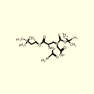 CC(C)(C)OC(=O)N(C[C@@H](N)C(=O)OCC[Si](C)(C)C)[C@@H](CC(N)=O)C(=O)O